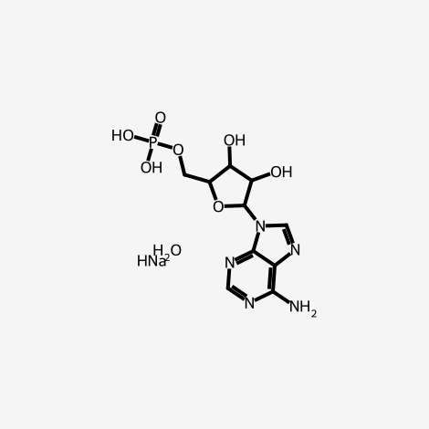 Nc1ncnc2c1ncn2C1OC(COP(=O)(O)O)C(O)C1O.O.[NaH]